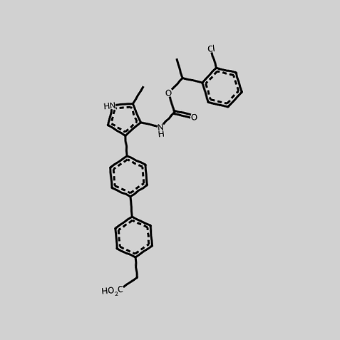 Cc1[nH]cc(-c2ccc(-c3ccc(CC(=O)O)cc3)cc2)c1NC(=O)OC(C)c1ccccc1Cl